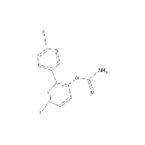 NC(=O)Oc1ccc(F)cc1-c1ccc(F)cc1